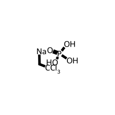 O=P(O)(O)O.[Na][CH2]C(Cl)(Cl)Cl